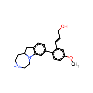 COc1ccc(-c2ccc3c(c2)N2CCNCCC2C3)c(C=CCO)c1